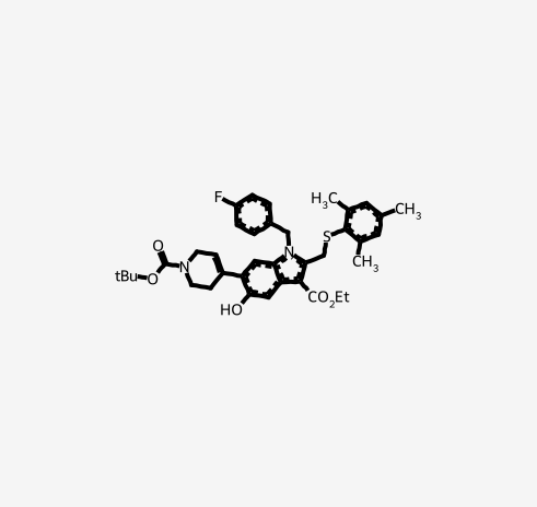 CCOC(=O)c1c(CSc2c(C)cc(C)cc2C)n(Cc2ccc(F)cc2)c2cc(C3=CCN(C(=O)OC(C)(C)C)CC3)c(O)cc12